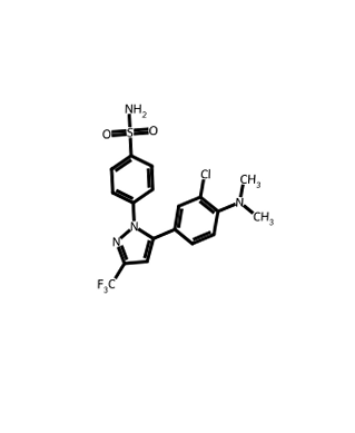 CN(C)c1ccc(-c2cc(C(F)(F)F)nn2-c2ccc(S(N)(=O)=O)cc2)cc1Cl